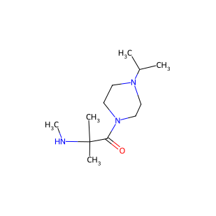 CNC(C)(C)C(=O)N1CCN(C(C)C)CC1